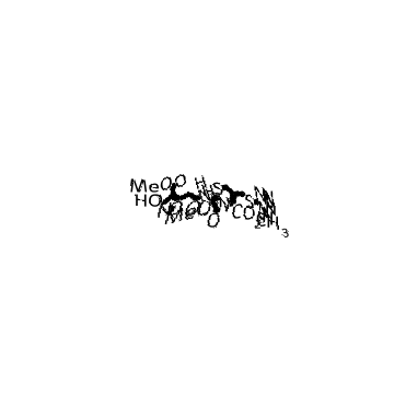 COC(=O)c1c(O)noc1CC(=O)N[C@]1(OC)C(=O)N2C(C(=O)O)=C(CSc3nnnn3C)CS[C@@H]21